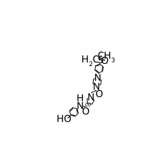 C=S(C)(=O)c1ccc(N2CCN(C(=O)CN3CC[C@H](C(=O)Nc4ccc(O)cc4)C3)CC2)cc1